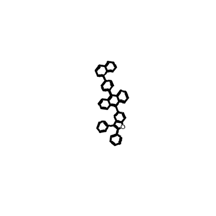 c1ccc(-c2oc3ccc(-c4c5ccccc5c(-c5ccc(-c6cccc7ccccc67)cc5)c5ccccc45)cc3c2-c2ccccc2)cc1